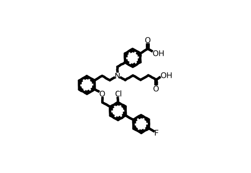 O=C(O)CCCCN(CCc1ccccc1OCc1ccc(-c2ccc(F)cc2)cc1Cl)Cc1ccc(C(=O)O)cc1